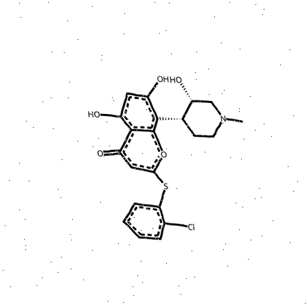 CN1CC[C@H](c2c(O)cc(O)c3c(=O)cc(Sc4ccccc4Cl)oc23)[C@H](O)C1